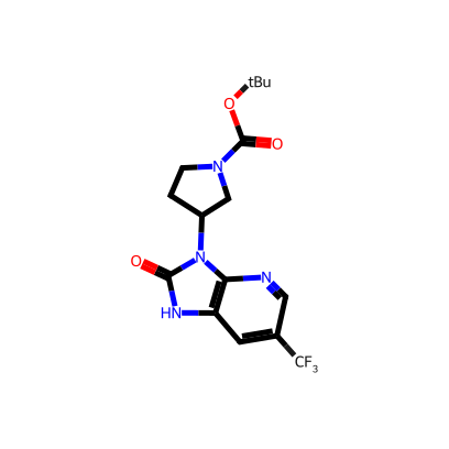 CC(C)(C)OC(=O)N1CCC(n2c(=O)[nH]c3cc(C(F)(F)F)cnc32)C1